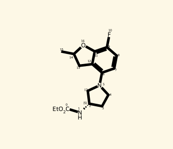 CCOC(=O)N[C@H]1CCN(c2ccc(F)c3c2CC(C)O3)C1